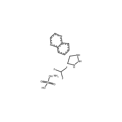 C1CNNN1.FC(F)F.N.O=S(=O)(O)O.c1ccc2nccnc2c1